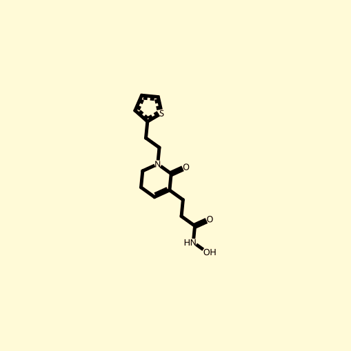 O=C(CCC1=CCCN(CCc2cccs2)C1=O)NO